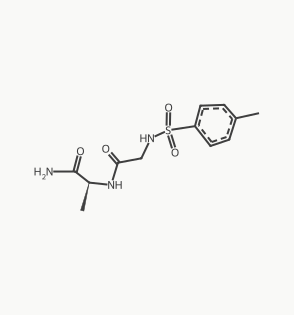 Cc1ccc(S(=O)(=O)NCC(=O)N[C@@H](C)C(N)=O)cc1